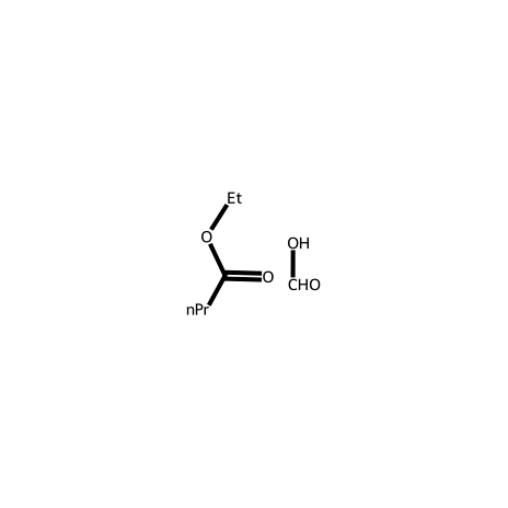 CCCC(=O)OCC.O=CO